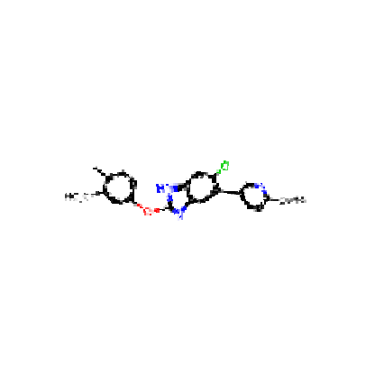 COc1ccc(-c2cc3nc(Oc4ccc(C)c(C(=O)O)c4)[nH]c3cc2Cl)cn1